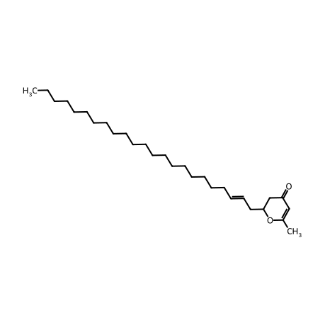 CCCCCCCCCCCCCCCCCCCCC=CCC1CC(=O)C=C(C)O1